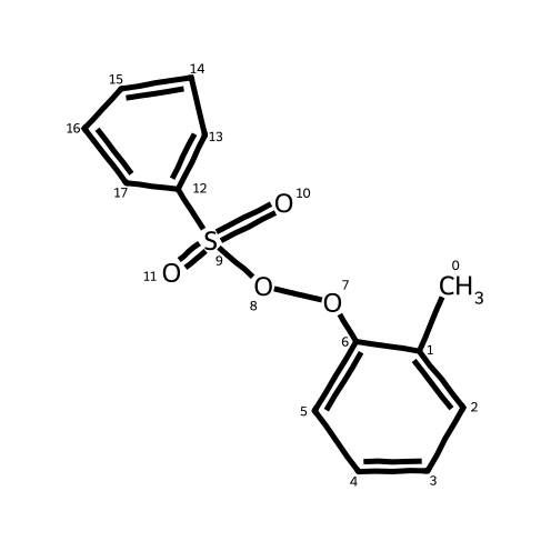 Cc1ccccc1OOS(=O)(=O)c1ccccc1